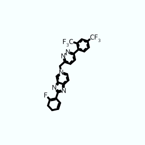 FC1=C(c2nc3ccn(Cc4ccc(-c5ccc(C(F)(F)F)cc5C(F)(F)F)nn4)cc-3n2)C=CCC1